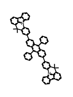 CC1(C)c2cc(-c3ccc4c(-c5ccccc5)c5cc(-c6ccc7c(c6)C(C)(C)c6cccc8c9ccccc9n-7c68)ccc5c(-c5ccccc5)c4c3)ccc2-n2c3ccccc3c3cccc1c32